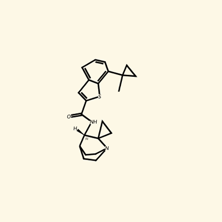 CC1(c2cccc3cc(C(=O)N[C@H]4C5CCN(CC5)C45CC5)sc23)CC1